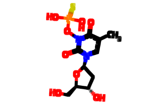 Cc1cn([C@H]2C[C@H](O)[C@@H](CO)O2)c(=O)n(OP(O)(O)=S)c1=O